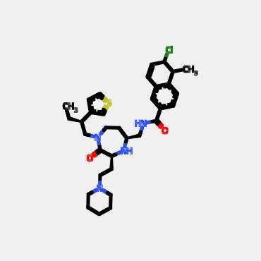 CC[C@H](CN1CC[C@@H](CNC(=O)c2ccc3c(c2)C=CC(Cl)C3C)N[C@@H](CCN2CCCCC2)C1=O)c1ccsc1